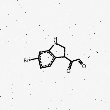 O=CC(=O)C1CNc2cc(Br)ccc21